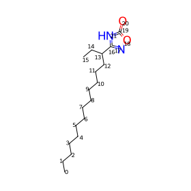 CCCCCCCCCCCCCC(CC)c1noc(=O)[nH]1